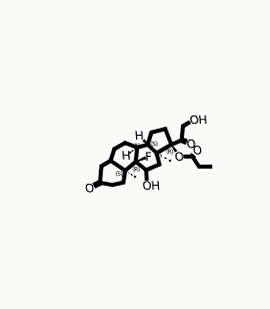 CCC(=O)O[C@]1(C(=O)CO)CC[C@H]2[C@@H]3CCC4CC(=O)CC[C@]4(C)[C@@]3(F)C(O)C[C@@]21C